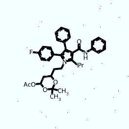 CC(=O)OC1CC(CCn2c(-c3ccc(F)cc3)c(-c3ccccc3)c(C(=O)Nc3ccccc3)c2C(C)C)OC(C)(C)O1